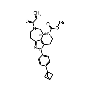 C=CC(=O)N1CCc2nn(-c3ccc(C45CC(C4)C5)cc3)c3c2[C@@H](C1)N(C(=O)OC(C)(C)C)CC3